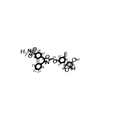 CO[C@@H]1C[C@@H]2OC[C@@](c3cc(F)cc(OCc4nc(-c5ccccc5)c(-c5ccc(S(N)(=O)=O)cc5)o4)c3)(C1)O2